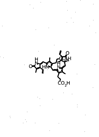 C=CC1=C(C)C(/C=c2\[nH]c(=Cc3[nH]c(/C=C4/NC(=O)C(C)=C4C=C)c(C)c3CCC(=O)O)c(CCC(=O)O)c2C)=NC1=O